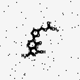 CC(=O)OCC1[CH][CH]C(n2nnc3c(N)nn(O)c3c2=O)O1